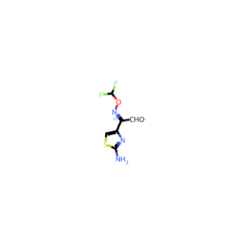 Nc1nc(/C([C]=O)=N/OC(F)F)cs1